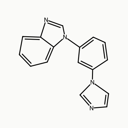 c1cc(-n2ccnc2)cc(-n2cnc3ccccc32)c1